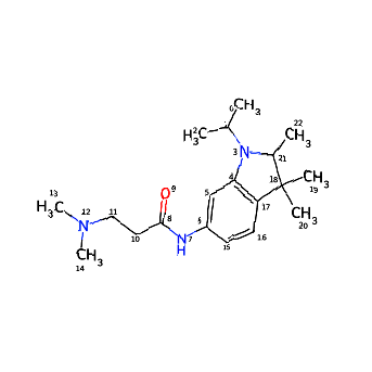 CC(C)N1c2cc(NC(=O)CCN(C)C)ccc2C(C)(C)C1C